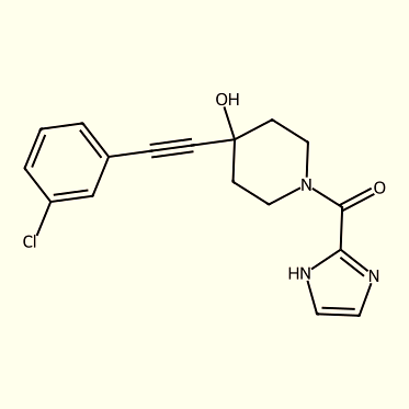 O=C(c1ncc[nH]1)N1CCC(O)(C#Cc2cccc(Cl)c2)CC1